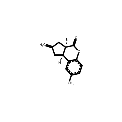 C=C1C[C@@H]2c3cc(C)ccc3OC(=O)[C@@H]2C1